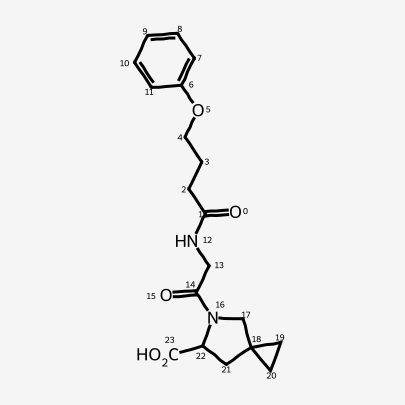 O=C(CCCOc1ccccc1)NCC(=O)N1CC2(CC2)CC1C(=O)O